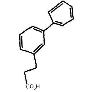 O=C(O)CCc1[c]ccc(-c2ccccc2)c1